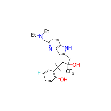 CCN(CC)Cc1ccc2[nH]c(CC(O)(CC(C)(C)c3cc(F)ccc3O)C(F)(F)F)cc2n1